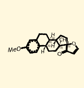 COc1ccc2c(c1)CC[C@@H]1[C@@H]2CC[C@@]2(C)[C@H]1CC[C@]21OC=CC1=O